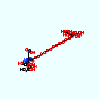 O=C(CCOCCOCCOCCOCCOCCOCCOCCOCCOCCOCCOCCOCCN(C[C@H](O)[C@@H](O)[C@H](O)[C@H](O)CO)C[C@H](O)[C@@H](O)[C@H](O)[C@H](O)CO)NCC(NC(=O)CCCCCN1C(=O)C=CC1O)C(=O)Nc1cc(CO)ccc1O[C@@H]1O[C@H](C(=O)O)[C@@H](O)[C@H](O)[C@H]1O